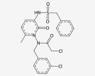 Cc1ccc(NS(=O)(=O)Cc2ccccc2)c(=O)n1N(Cc1cccc(Cl)c1)C(=O)CCl